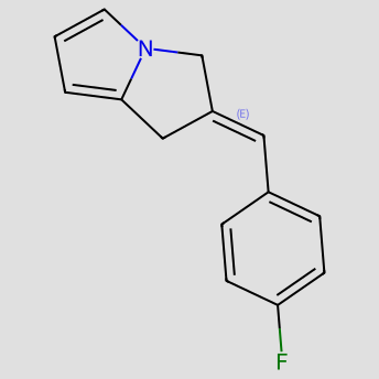 Fc1ccc(/C=C2\Cc3cccn3C2)cc1